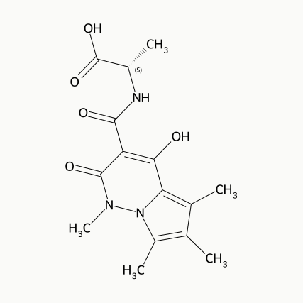 Cc1c(C)c2c(O)c(C(=O)N[C@@H](C)C(=O)O)c(=O)n(C)n2c1C